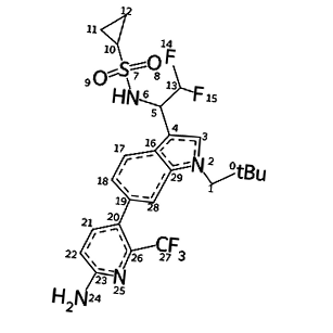 CC(C)(C)Cn1cc(C(NS(=O)(=O)C2CC2)C(F)F)c2ccc(-c3ccc(N)nc3C(F)(F)F)cc21